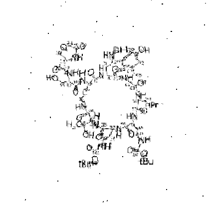 BNCC[C@@H]1NC(=O)[C@@H](NC(=O)[C@@H](CO)NC(=O)[C@@H]2COCC(=O)N2)CCNC(=O)[C@H]([C@@H](C)O)NC(=O)[C@H](CCNC(=O)OC(C)(C)C)NC(=O)[C@H](CCNC(=O)OC(C)(C)C)NC(=O)[C@H](CC(C)C)NC(=O)[C@@H](Cc2cccc(O)c2)NC1=O